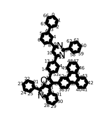 c1ccc(-c2cccc(-c3cc(-c4ccc(-c5oc6c(-c7ccccc7)nc7ccccc7c6c5-c5ccc6c7ccccc7c7ccccc7c6c5)cc4)nc(-c4ccccc4)n3)c2)cc1